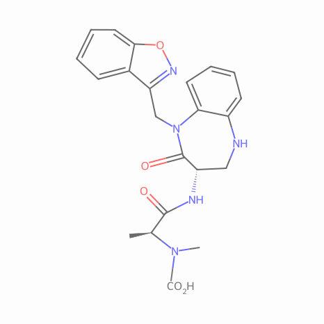 C[C@@H](C(=O)N[C@H]1CNc2ccccc2N(Cc2noc3ccccc23)C1=O)N(C)C(=O)O